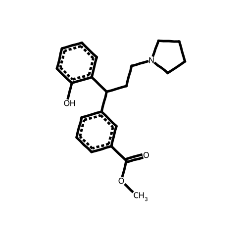 COC(=O)c1cccc(C(CCN2CCCC2)c2ccccc2O)c1